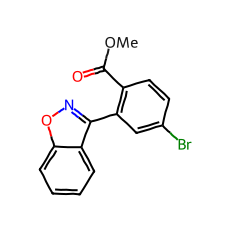 COC(=O)c1ccc(Br)cc1-c1noc2ccccc12